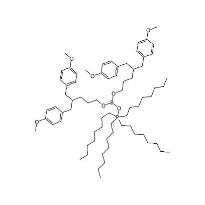 CCCCCCCCP(CCCCCCCC)(CCCCCCCC)(CCCCCCCC)OB(OCCCC(Cc1ccc(OC)cc1)Cc1ccc(OC)cc1)OCCCC(Cc1ccc(OC)cc1)Cc1ccc(OC)cc1